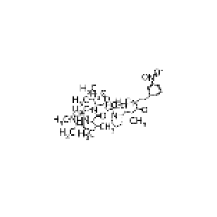 CC[C@H](C)[C@@H]([C@@H](CC(=O)N1CCC[C@H]1[C@H](OC)[C@@H](C)C(=O)N(C)CCc1cccc([N+](=O)[O-])c1)OC)N(C)C(=O)[C@@H](NC(=O)[C@H](C)N(C)C)C(C)C